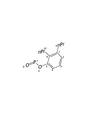 CCCc1cccc(OP=O)c1CCC